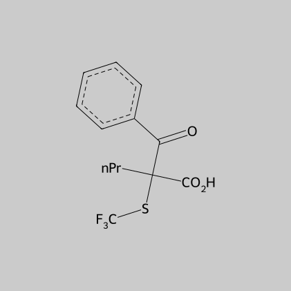 CCCC(SC(F)(F)F)(C(=O)O)C(=O)c1ccccc1